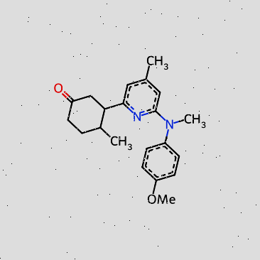 COc1ccc(N(C)c2cc(C)cc(C3CC(=O)CCC3C)n2)cc1